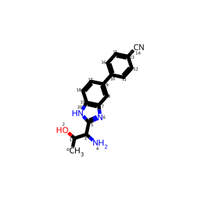 CC(O)C(N)c1nc2cc(-c3ccc(C#N)cc3)ccc2[nH]1